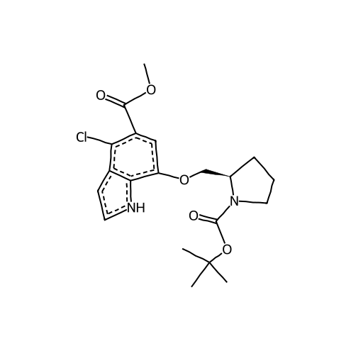 COC(=O)c1cc(OC[C@H]2CCCN2C(=O)OC(C)(C)C)c2[nH]ccc2c1Cl